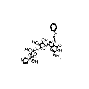 Nc1nc2c(c(=O)[nH]1)[n+](CCOc1ccccc1)cn2[C@@H]1O[C@H](COP(=O)(O)OP(=O)(O)n2ccnc2)[C@@H](O)[C@H]1O